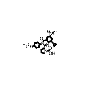 COc1ccc(-n2c([C@H]3CCCN3C(=O)O)nc3c(C4CC4)cc([N+](=O)[O-])cc3c2=O)cc1